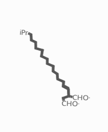 CC(C)CCCCCCCCCCCCCC=CC([C]=O)C[C]=O